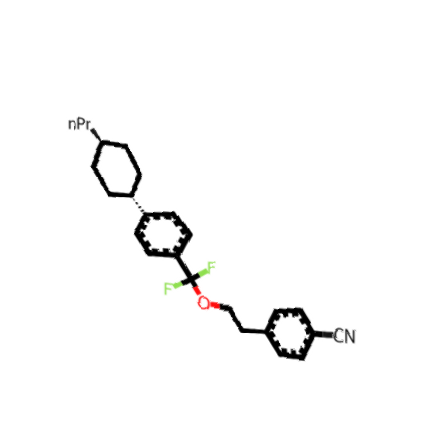 CCC[C@H]1CC[C@H](c2ccc(C(F)(F)OCCc3ccc(C#N)cc3)cc2)CC1